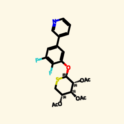 CC(=O)O[C@@H]1[C@@H](OC(C)=O)[C@H](OC(C)=O)CS[C@H]1Oc1cc(-c2cccnc2)cc(F)c1F